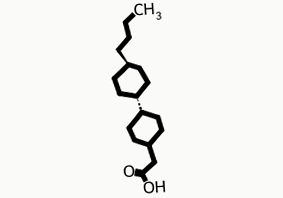 CCCC[C@H]1CC[C@H](C2CCC(CC(=O)O)CC2)CC1